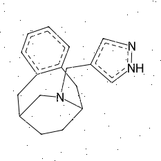 c1ccc2c(c1)CC1CCC(C2)N(Cc2cn[nH]c2)C1